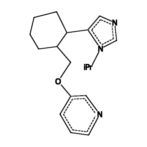 CC(C)n1cncc1C1CCCCC1COc1cccnc1